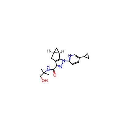 CC(C)(CO)NC(=O)c1nn(-c2ccc(C3CC3)cn2)c2c1C[C@H]1C[C@@H]21